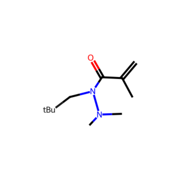 C=C(C)C(=O)N(CC(C)(C)C)N(C)C